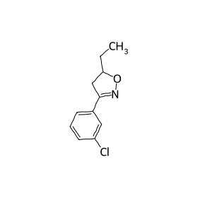 CCC1CC(c2cccc(Cl)c2)=NO1